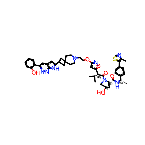 Cc1ncsc1-c1ccc([C@H](C)NC(=O)[C@@H]2C[C@@H](O)CN2C(=O)[C@@H](c2cc(OCCN3CCC4(CC3)CC(c3cc5cc(-c6ccccc6O)nnc5[nH]3)C4)no2)C(C)C)cc1